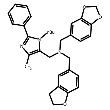 CCCCn1c(-c2ccccc2)nc(C(F)(F)F)c1CN(Cc1ccc2c(c1)CCO2)Cc1ccc2c(c1)OCO2